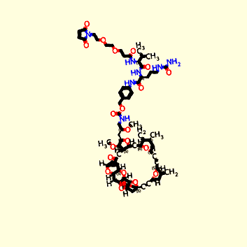 C=C1C[C@@H]2CC[C@@]34C[C@H]5OC6[C@@H](O[C@H]7CC[C@H](CC(=O)C[C@@H]8[C@@H](OC)[C@@H](C[C@@H](CNC(=O)OCc9ccc(NC(=O)[C@H](CCCNC(N)=O)NC(=O)[C@@H](NC(=O)CCOCCOCCN%10C(=O)C=CC%10=O)C(C)C)cc9)OC)O[C@H]8C[C@H]8O[C@@H](CC[C@@H]1O2)C[C@@H](C)C8=C)O[C@@H]7[C@@H]6O3)[C@H]5O4